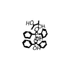 CC(O)C(C)O.O=P(O)(c1ccccc1)c1ccccc1.O=P(O)(c1ccccc1)c1ccccc1